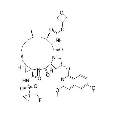 COc1ccc2c(O[C@@H]3C[C@H]4C(=O)N[C@]5(C(=O)NS(=O)(=O)C6(CF)CC6)C[C@H]5C=CCC[C@@H](C)C[C@@H](C)[C@H](NC(=O)OC5COC5)C(=O)N4C3)nc(OC)cc2c1